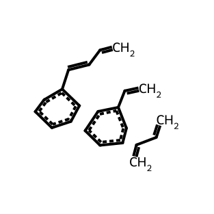 C=CC=C.C=CC=Cc1ccccc1.C=Cc1ccccc1